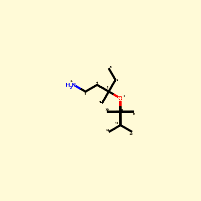 CCC(C)(CCN)OC(C)(C)C(C)C